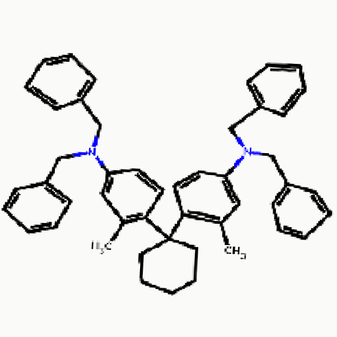 Cc1cc(N(Cc2ccccc2)Cc2ccccc2)ccc1C1(c2ccc(N(Cc3ccccc3)Cc3ccccc3)cc2C)CCCCC1